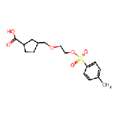 Cc1ccc(S(=O)(=O)OCCOCC2CCC(C(=O)O)C2)cc1